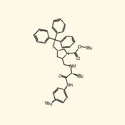 CCC(C)[C@H](NCC1CC(SC(c2ccccc2)(c2ccccc2)c2ccccc2)CN1C(=O)OC(C)(C)C)C(=O)Nc1ccc(C(C)(C)C)cc1